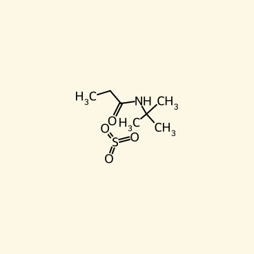 CCC(=O)NC(C)(C)C.O=S(=O)=O